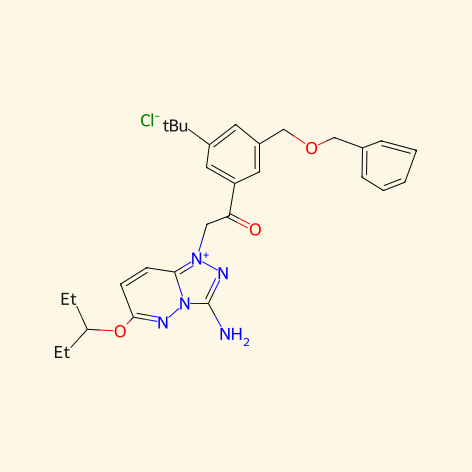 CCC(CC)Oc1ccc2n(n1)c(N)n[n+]2CC(=O)c1cc(COCc2ccccc2)cc(C(C)(C)C)c1.[Cl-]